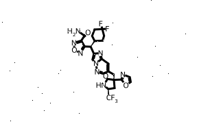 NC(=O)c1nonc1[C@H](c1cn2ncc(C[C@@]3(c4ncco4)C[C@@H](C(F)(F)F)NC3=O)cc2n1)C1CCC(F)(F)CC1